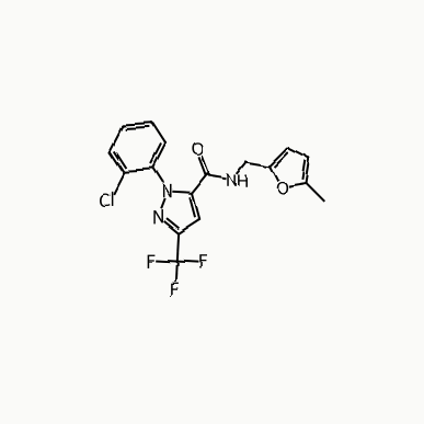 Cc1ccc(CNC(=O)c2cc(C(F)(F)F)nn2-c2ccccc2Cl)o1